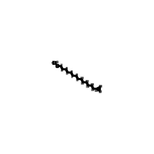 C[CH]OCCCCCCCCCCCCCCC1CC1